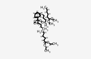 CCCCC.CCCCC(OC)(OC)c1ccccc1.CCCCCC(OC)OC.CCCCCC(OCC)OCC